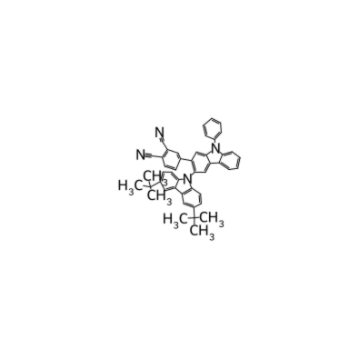 CC(C)(C)c1ccc2c(c1)c1cc(C(C)(C)C)ccc1n2-c1cc2c3ccccc3n(-c3ccccc3)c2cc1-c1ccc(C#N)c(C#N)c1